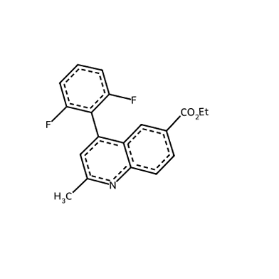 CCOC(=O)c1ccc2nc(C)cc(-c3c(F)cccc3F)c2c1